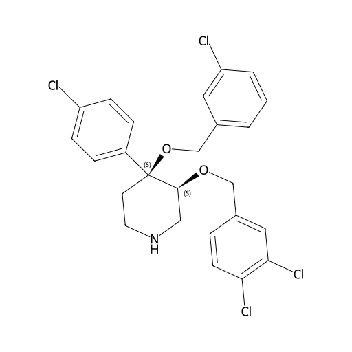 Clc1ccc([C@@]2(OCc3cccc(Cl)c3)CCNC[C@@H]2OCc2ccc(Cl)c(Cl)c2)cc1